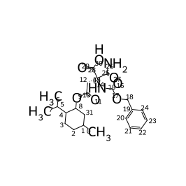 CC1CCC(C(C)C)C(OC(=O)C[C@@](NC(=O)OCc2ccccc2)(C(N)=O)C(=O)O)C1